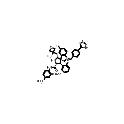 COc1cc(C(=O)O)ccc1NC(=O)[C@@H]1N[C@@H](CC2(C)COC2)[C@@]2(CN(Cc3ccc(-c4nnn[nH]4)cc3)c3ccc(Cl)cc32)[C@H]1c1ccccc1Cl